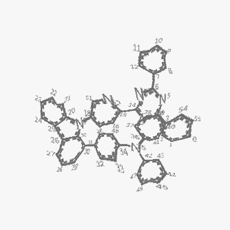 c1ccc(-c2nc(-c3ccccc3)nc(-c3ccc(-n4c5ccccc5c5cccc(-c6ccc(N(c7ccccc7)c7ccccc7)cc6)c54)cn3)n2)cc1